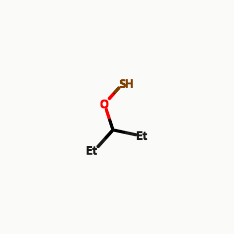 CCC(CC)OS